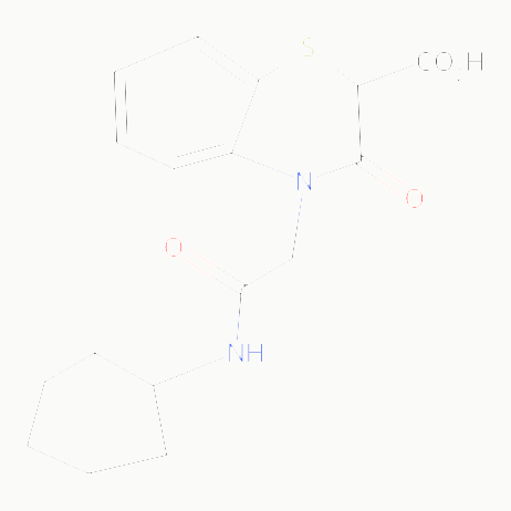 O=C(CN1C(=O)C(C(=O)O)Sc2ccccc21)NC1CCCCC1